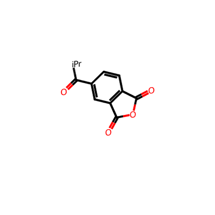 CC(C)C(=O)c1ccc2c(c1)C(=O)OC2=O